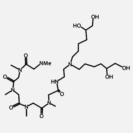 CNCC(=O)N(C)CC(=O)N(C)CC(=O)N(C)CC(=O)N(C)CC(=O)NCCN(CCCCC(O)CO)CCCCC(O)CO